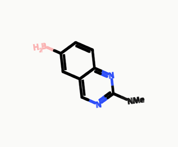 Bc1ccc2nc(NC)ncc2c1